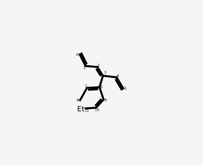 C=C/C=C(/C=C)C(=CC)/C=C\CC